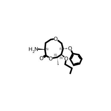 CCCO[C@H]1[C@H](C)OC(=O)[C@@H](N)CCOC[C@@H]1Oc1ccccc1